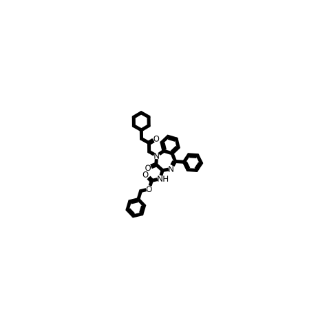 O=C(CC1CCCCC1)CN1C(=O)C(NC(=O)OCc2ccccc2)N=C(c2ccccc2)c2ccccc21